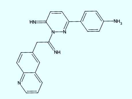 N=C(Cc1ccc2ncccc2c1)n1nc(-c2ccc(N)cc2)ccc1=N